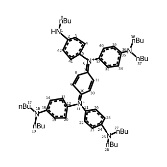 CCCCNc1ccc([N+](=C2C=CC(=[N+](c3ccc(N(CCCC)CCCC)cc3)c3ccc(N(CCCC)CCCC)cc3)C=C2)c2ccc(N(CCCC)CCCC)cc2)cc1